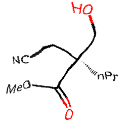 CCC[C@@](CO)(CC#N)C(=O)OC